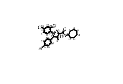 CC1C(C(=O)NC2CCCCCC2)=NN(c2ccc(Cl)cc2Cl)C1c1ccc(I)cc1